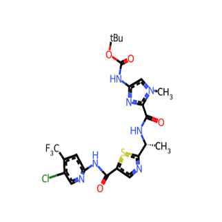 C[C@@H](NC(=O)c1nc(NC(=O)OC(C)(C)C)cn1C)c1ncc(C(=O)Nc2cc(C(F)(F)F)c(Cl)cn2)s1